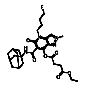 CCOC(=O)CCC(=O)Oc1c(C(=O)NC23CC4CC(CC(C4)C2)C3)c(=O)n(CCCCF)c2cn(C)nc12